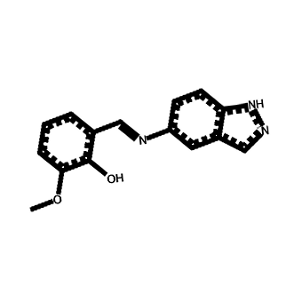 COc1cccc(/C=N/c2ccc3[nH]ncc3c2)c1O